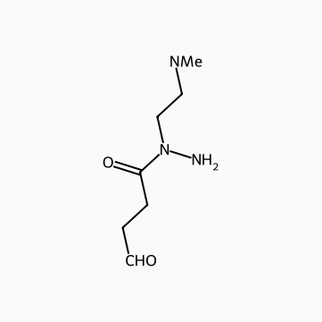 CNCCN(N)C(=O)CCC=O